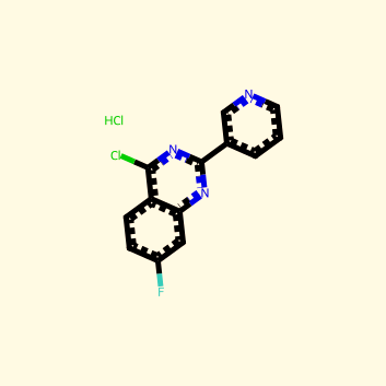 Cl.Fc1ccc2c(Cl)nc(-c3cccnc3)nc2c1